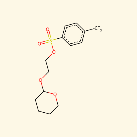 O=S(=O)(OCCOC1CCCCO1)c1ccc(C(F)(F)F)cc1